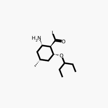 CCC(CC)O[C@@H]1C[C@H](C)C[C@H](N)[C@H]1C(=O)I